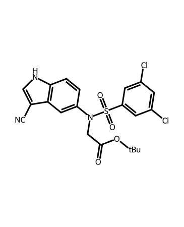 CC(C)(C)OC(=O)CN(c1ccc2[nH]cc(C#N)c2c1)S(=O)(=O)c1cc(Cl)cc(Cl)c1